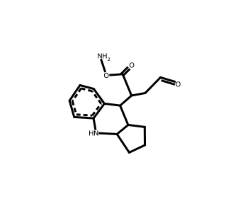 NOC(=O)C(CC=O)C1c2ccccc2NC2CCCC21